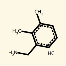 Cc1cccc(CN)c1C.Cl